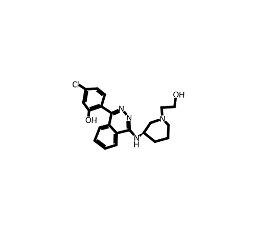 OCCN1CCC[C@@H](Nc2nnc(-c3ccc(Cl)cc3O)c3ccccc23)C1